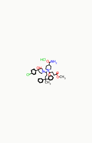 COC(=O)CCC(=O)[N+]1(C(CCC(C)(c2ccccc2)c2ccccc2)N2CCC(O)(c3ccc(Cl)cc3)CC2)CCC(C(N)=O)CC1.Cl